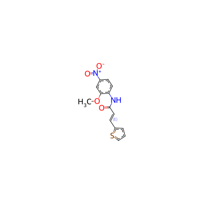 COc1cc([N+](=O)[O-])ccc1NC(=O)/C=C/c1cccs1